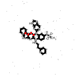 CS(=O)(=O)Nc1ccc(N(NCCc2ccccn2)c2ncc3nc[nH]c3n2)c(N(NCCc2ccccn2)c2ncc3nc[nH]c3n2)c1